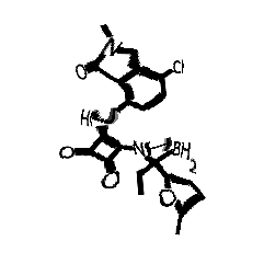 BC(CC)(Nc1c(Nc2ccc(Cl)c3c2C(=O)N(C)C3)c(=O)c1=O)c1ccc(C)o1